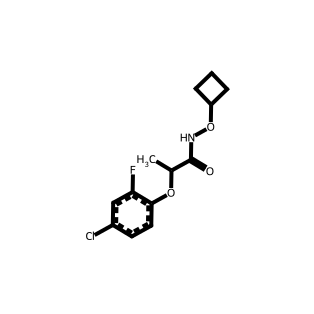 CC(Oc1ccc(Cl)cc1F)C(=O)NOC1CCC1